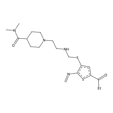 C=Nc1sc(C(=O)CC)cc1SCNCCN1CCC(C(=O)N(C)C)CC1